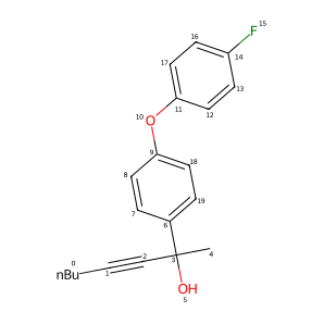 CCCCC#CC(C)(O)c1ccc(Oc2ccc(F)cc2)cc1